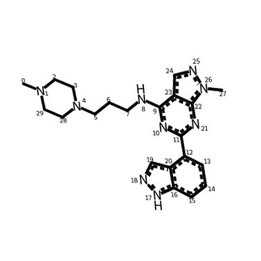 CN1CCN(CCCNc2nc(-c3cccc4[nH]ncc34)nc3c2cnn3C)CC1